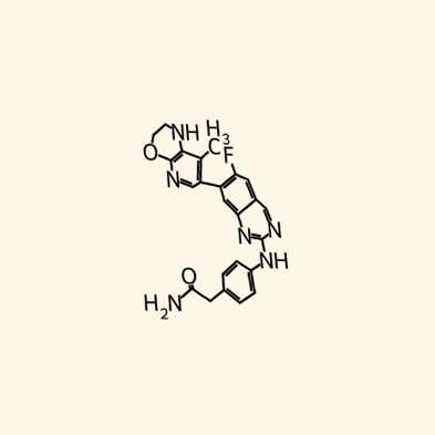 Cc1c(-c2cc3nc(Nc4ccc(CC(N)=O)cc4)ncc3cc2F)cnc2c1NCCO2